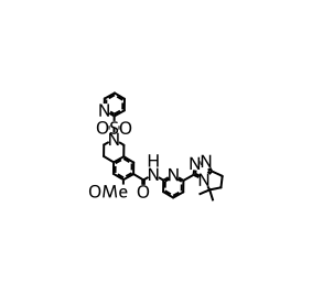 COc1cc2c(cc1C(=O)Nc1cccc(-c3nnc4n3C(C)(C)CC4)n1)CN(S(=O)(=O)c1ccccn1)CC2